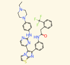 CCN1CCN(c2ccc(Nc3nccc(-c4c(-c5cccc(NC(=O)Cc6ccccc6C(F)(F)F)c5)nc5sccn45)n3)cc2)CC1